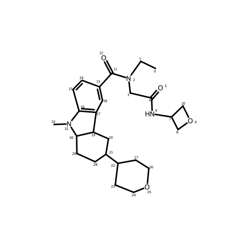 CCN(CC(=O)NC1COC1)C(=O)c1ccc2c(c1)C1CC(C3CCOCC3)CCC1N2C